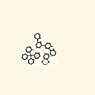 CC1(C)CCC(C)(C)c2cc(N3B4c5cccc6c5N(c5ccccc5C6(c5ccccc5)c5ccccc5)c5cc6c(sc7ccccc76)c(c54)-c4ccc5oc6ccccc6c5c43)ccc21